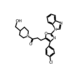 O=C(CCc1oc(-n2cnc3ccccc32)nc1-c1ccc(Cl)cc1)N1CCC(CO)CC1